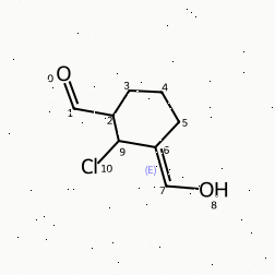 O=CC1CCC/C(=C\O)C1Cl